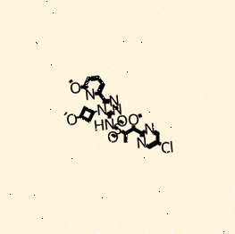 COc1cccc(-c2nnc(NS(=O)(=O)C(C)C(OC)c3ncc(Cl)cn3)n2[C@H]2C[C@H](OC)C2)n1